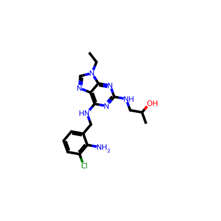 CCn1cnc2c(NCc3cccc(Cl)c3N)nc(NCC(C)O)nc21